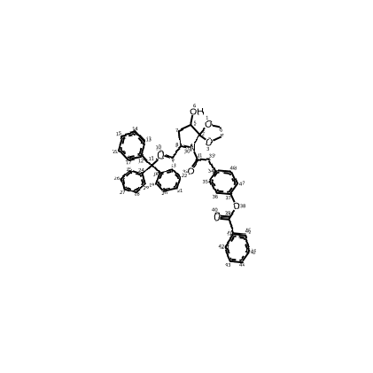 COC1(OC)C(O)CC(COC(c2ccccc2)(c2ccccc2)c2ccccc2)N1C(=O)Cc1ccc(OC(=O)c2ccccc2)cc1